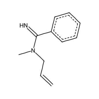 C=CCN(C)C(=N)c1ccccc1